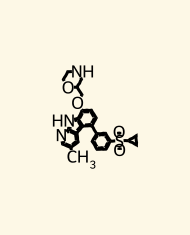 Cc1cnc2[nH]c3c(OCC4CNCCO4)ccc(-c4cccc(S(=O)(=O)C5CC5)c4)c3c2c1